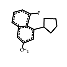 Cc1cc(C2CCCC2)c2c(F)cccc2c1